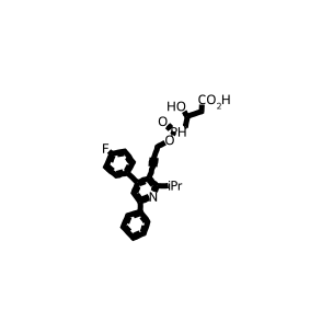 CC(C)c1nc(-c2ccccc2)cc(-c2ccc(F)cc2)c1C#CCO[PH](=O)CC(O)CC(=O)O